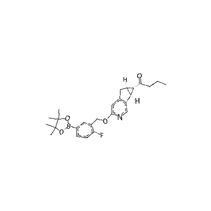 CCCC(=O)[C@H]1[C@@H]2Cc3cc(OCc4cc(B5OC(C)(C)C(C)(C)O5)ccc4F)ncc3[C@@H]21